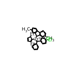 CCC1=[C]([Zr+2](=[C](c2ccccc2)c2ccccc2)[CH]2c3cc(C)ccc3-c3ccc(C)cc32)C(CC)C=C1.[Cl-].[Cl-]